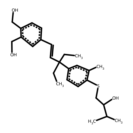 CCC(/C=C/c1ccc(CO)c(CO)c1)(CC)c1ccc(SCC(O)C(C)C)c(C)c1